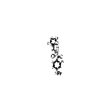 CC(C)c1ccc(S(=O)(=O)NCc2ccco2)cc1